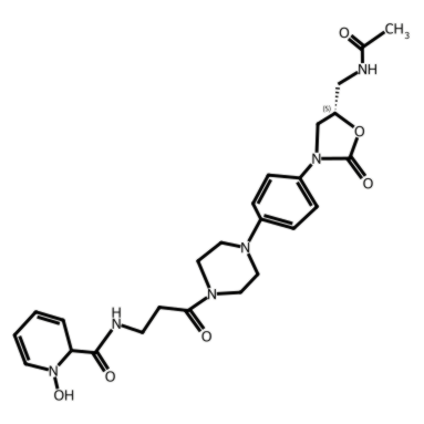 CC(=O)NC[C@H]1CN(c2ccc(N3CCN(C(=O)CCNC(=O)C4C=CC=CN4O)CC3)cc2)C(=O)O1